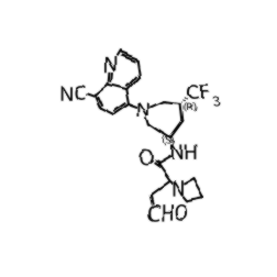 N#Cc1ccc(N2C[C@@H](NC(=O)C(CC=O)N3CCC3)C[C@@H](C(F)(F)F)C2)c2cccnc12